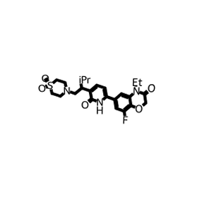 CCN1C(=O)COc2c(F)cc(-c3ccc(C(CN4CCS(=O)(=O)CC4)C(C)C)c(=O)[nH]3)cc21